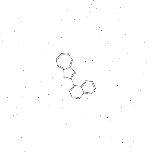 C1=CC=c2sc(-c3cccc4ccccc34)nc2=CN=1